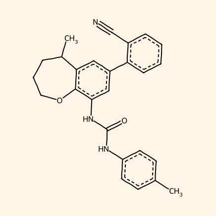 Cc1ccc(NC(=O)Nc2cc(-c3ccccc3C#N)cc3c2OCCCC3C)cc1